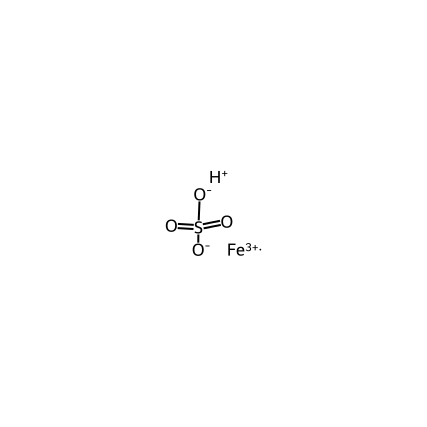 O=S(=O)([O-])[O-].[Fe+3].[H+]